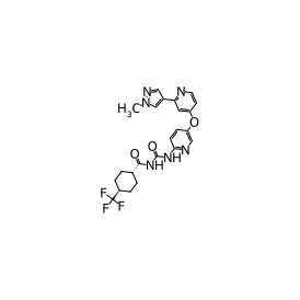 Cn1cc(-c2cc(Oc3ccc(NC(=O)NC(=O)[C@H]4CC[C@H](C(F)(F)F)CC4)nc3)ccn2)cn1